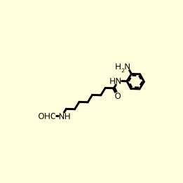 Nc1ccccc1NC(=O)CCCCCCCNC=O